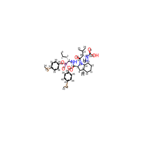 CCC[C@H](NC(=O)[C@@H]1C[C@@H]2CCCC[C@@H]2N1C(=O)[C@@H](NC(=O)O)C(C)C)P(=O)(Oc1ccc(SC)cc1)Oc1ccc(SC)cc1